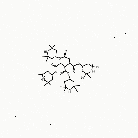 CCC1(C)CC(OC(=O)C(CC(=O)OC2CC(C)(C)NC(C)(C)C2)C(CC(=O)OC2CC(C)(C)NC(C)(C)C2)C(=O)OC2CC(C)(C)NC(C)(C)C2)CC(C)(CC)N1